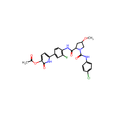 COC1CC(C(=O)Nc2ccc(-c3ccc(OC(C)=O)c(=O)[nH]3)cc2F)N(C(=O)Nc2ccc(Cl)cc2)C1